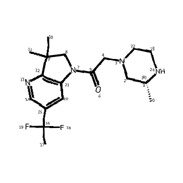 C[C@@H]1CN(CC(=O)N2CC(C)(C)c3ncc(C(C)(F)F)cc32)CCN1